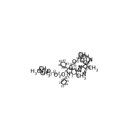 Cc1cc(N(CC(OCCOCCOCC[N+](C)(C)C)c2ccccc2)CC(OCCOCC[N+](C)(C)C)c2ccccc2)ccc1/N=N/c1sc(C#N)c(C)c1C#N